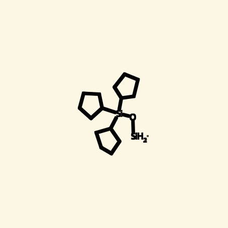 [SiH2]O[Si](C1CCCC1)(C1CCCC1)C1CCCC1